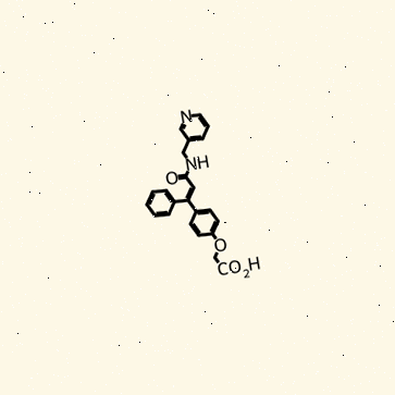 O=C(O)COc1ccc(C(=CC(=O)NCc2cccnc2)c2ccccc2)cc1